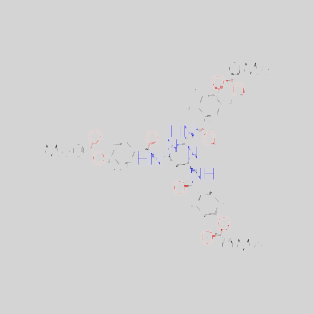 COC(=O)Oc1ccc(C(=O)Nc2cc(NC(=O)c3ccc(OC(=O)OC)cc3)nc(NC(=O)c3ccc(OC(=O)OC)cc3)n2)cc1